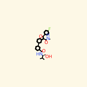 CNC(=O)c1c(-c2ccc(F)cc2)oc2ccc(-c3cccc(C(=O)N[C@@H](CO)C(C)C)c3)cc12